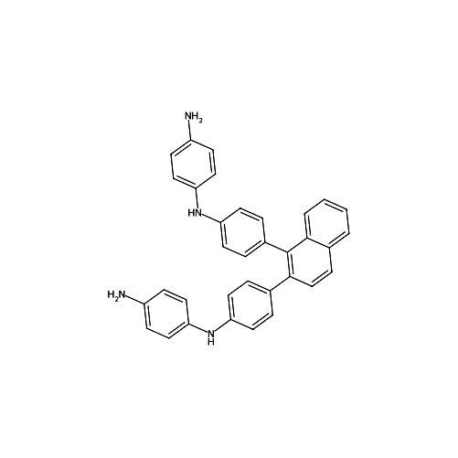 Nc1ccc(Nc2ccc(-c3ccc4ccccc4c3-c3ccc(Nc4ccc(N)cc4)cc3)cc2)cc1